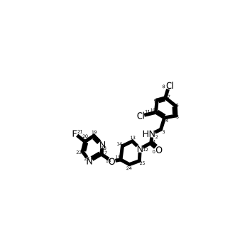 O=C(NCc1ccc(Cl)cc1Cl)N1CCC(Oc2ncc(F)cn2)CC1